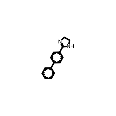 c1ccc(-c2ccc(C3=NCCN3)cc2)cc1